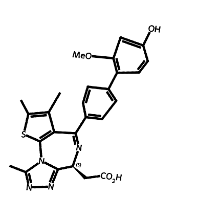 COc1cc(O)ccc1-c1ccc(C2=N[C@@H](CC(=O)O)c3nnc(C)n3-c3sc(C)c(C)c32)cc1